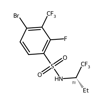 CC[C@H](NS(=O)(=O)c1ccc(Br)c(C(F)(F)F)c1F)C(F)(F)F